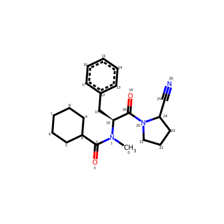 CN(C(=O)C1CCCCC1)[C@@H](Cc1ccccc1)C(=O)N1CCCC1C#N